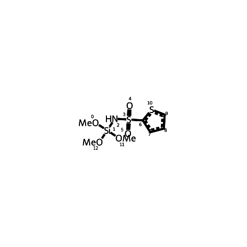 CO[Si](NS(=O)(=O)c1cccs1)(OC)OC